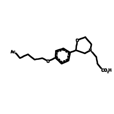 CC(=O)CCCCOc1ccc(C2CN(CCC(=O)O)CCO2)cc1